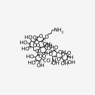 C[C@]1(O)C(O[C@@H]2OC(CO)[C@@H](O[C@H]3OC4O[C@@H]4C(O)[C@@H]3O)C(O)[C@@H]2O)[C@H]2OC2O[C@H]1OC1[C@H](O)[C@H](OCCCN)OC2O[C@@]21[C@H]1OC(CO[C@H]2OC(C(=O)O)[C@@H](O)[C@H](O)C2O)[C@@H](O)[C@H](O)C1O